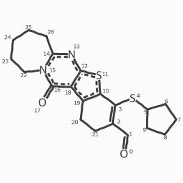 O=CC1=C(SC2CCCC2)c2sc3nc4n(c(=O)c3c2CC1)CCCCC4